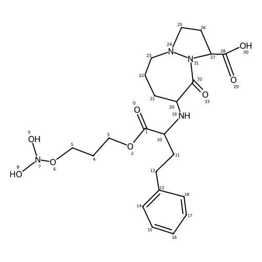 O=C(OCCCON(O)O)C(CCc1ccccc1)NC1CCCN2CCC(C(=O)O)N2C1=O